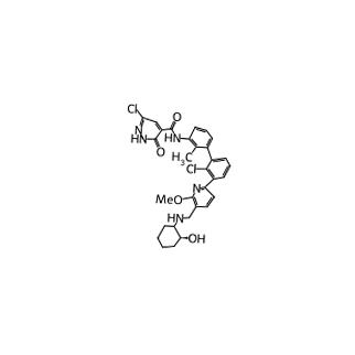 COc1nc(-c2cccc(-c3cccc(NC(=O)c4cc(Cl)n[nH]c4=O)c3C)c2Cl)ccc1CNC1CCCC[C@@H]1O